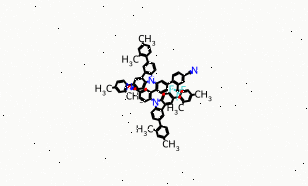 Cc1ccc(-c2ccc3c(c2)c2cc(-c4ccc(C)cc4C)ccc2n3-c2ccc(C#N)cc2-c2ccc(-c3ccc(C#N)cc3C(F)(F)F)cc2-n2c3ccc(-c4ccc(C)cc4C)cc3c3cc(-c4ccc(C)cc4C)ccc32)c(C)c1